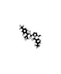 CC[C@@H]1CC[C@H](C(=O)NC(c2ccc(C(F)(F)F)cc2F)C2COC2)N1C(=O)c1cncc(C(F)(F)F)c1